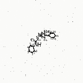 Cc1ccccc1NC(=O)CSc1nnc(-c2ccccc2Br)n1C